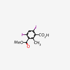 COC(=O)c1c(I)cc(I)c(C(=O)O)c1C